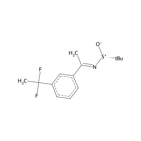 C/C(=N\[S@+]([O-])C(C)(C)C)c1cccc(C(C)(F)F)c1